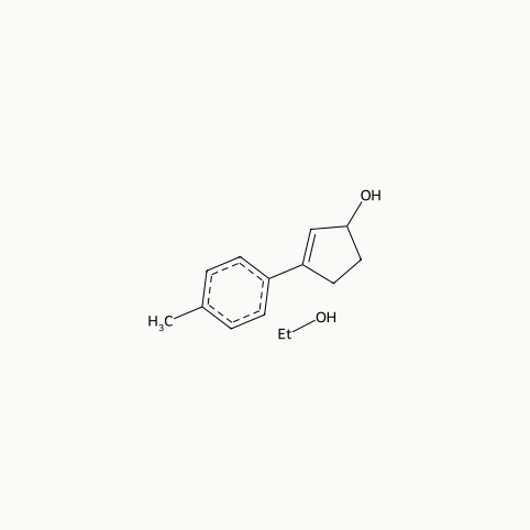 CCO.Cc1ccc(C2=CC(O)CC2)cc1